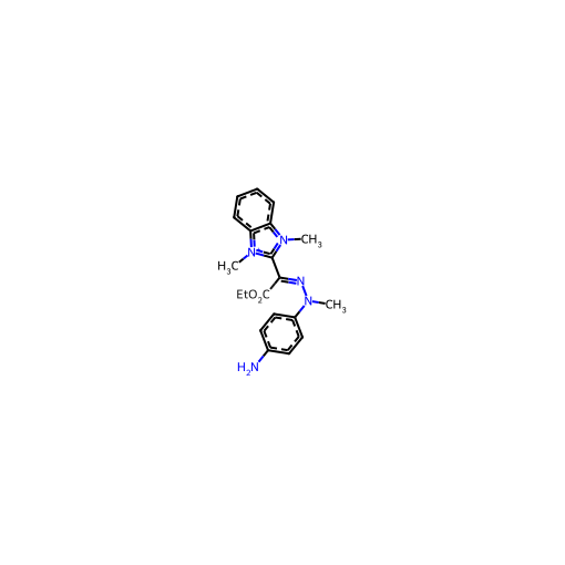 CCOC(=O)/C(=N\N(C)c1ccc(N)cc1)c1n(C)c2ccccc2[n+]1C